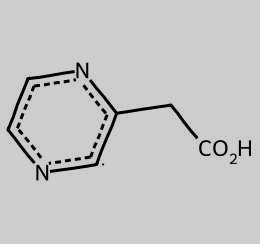 O=C(O)Cc1[c]nccn1